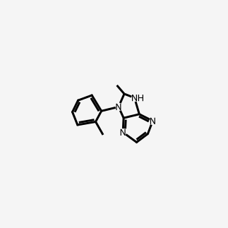 Cc1ccccc1N1c2nccnc2NC1C